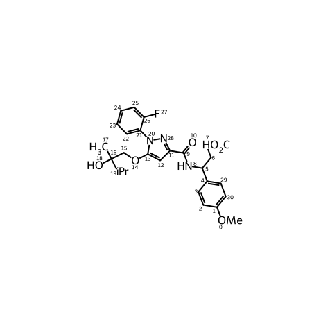 COc1ccc(C(CC(=O)O)NC(=O)c2cc(OCC(C)(O)C(C)C)n(-c3ccccc3F)n2)cc1